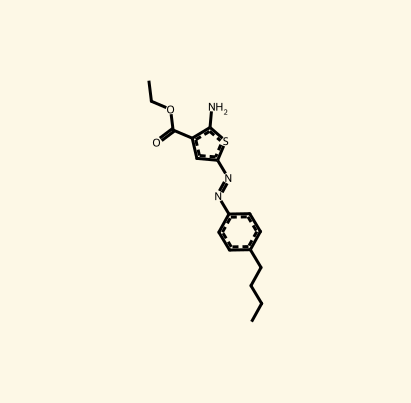 CCCCc1ccc(N=Nc2cc(C(=O)OCC)c(N)s2)cc1